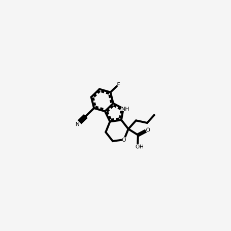 CCCC1(C(=O)O)OCCc2c1[nH]c1c(F)ccc(C#N)c21